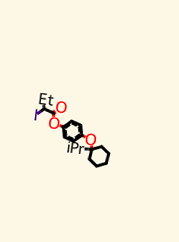 CCC(I)C(=O)Oc1ccc(OC2(C(C)C)CCCCC2)cc1